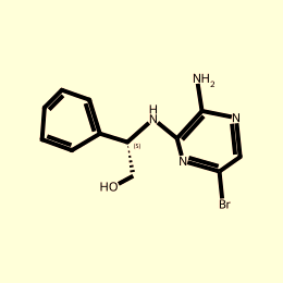 Nc1ncc(Br)nc1N[C@H](CO)c1ccccc1